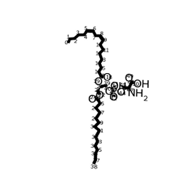 CCCCC/C=C\C/C=C\CCCCCCCC(=O)O[C@H](COC(=O)CCCCCCCCCCCCCC)COP(=O)(O)OC[C@H](N)C(=O)O